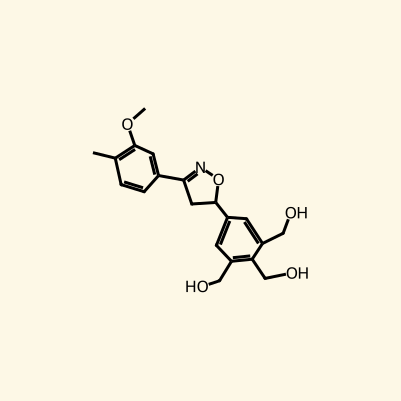 COc1cc(C2=NOC(c3cc(CO)c(CO)c(CO)c3)C2)ccc1C